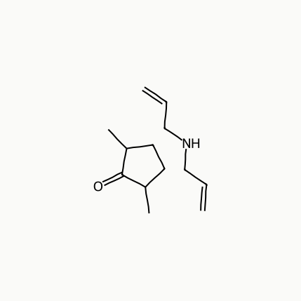 C=CCNCC=C.CC1CCC(C)C1=O